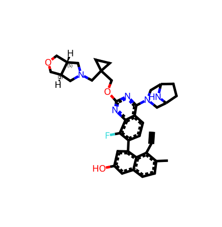 C#Cc1c(C)ccc2cc(O)cc(-c3ccc4c(N5CC6CCC(C5)N6)nc(OCC5(CN6C[C@H]7COC[C@@H]7C6)CC5)nc4c3F)c12